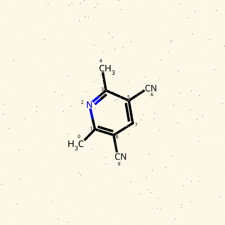 Cc1nc(C)c(C#N)cc1C#N